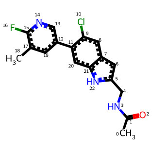 CC(=O)NCc1cc2cc(Cl)c(-c3cnc(F)c(C)c3)cc2[nH]1